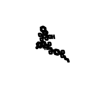 CCCCOC(=O)N1CCN(C(=O)CNC(=O)c2cc(OCC(=O)N3C(C(=O)O)CC4CCCCC43)c3ccc(C)cc3n2)CC1